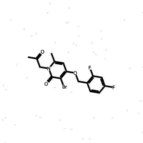 CC(=O)Cn1c(C)cc(OCc2ccc(F)cc2F)c(Br)c1=O